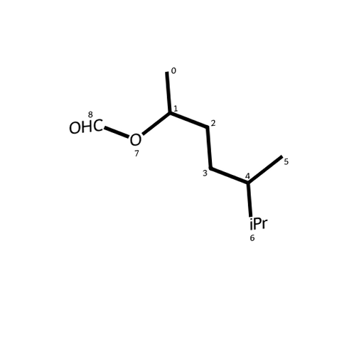 CC(CCC(C)C(C)C)OC=O